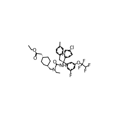 CCOC(=O)C[C@H]1CC[C@H](CN(CC)C(=O)N[C@@](Cc2ccc(C)cc2)(c2cc(F)cc(OC(F)(F)C(F)F)c2)c2ccc(Cl)cn2)CC1